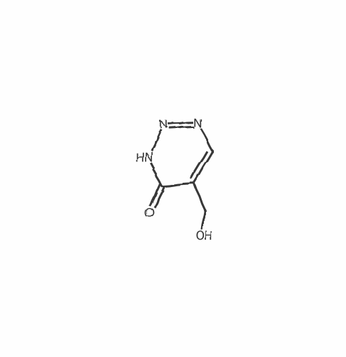 O=c1[nH]nncc1CO